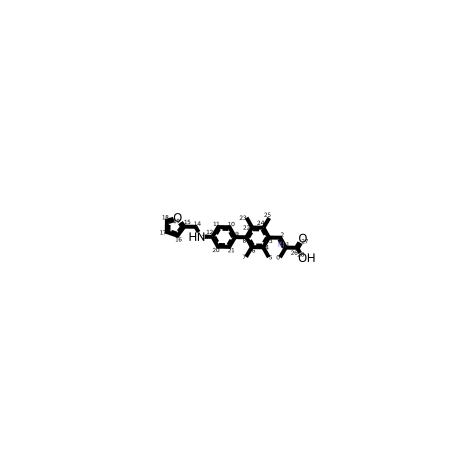 C/C(=C\c1c(C)c(C)c(-c2ccc(NCc3ccco3)cc2)c(C)c1C)C(=O)O